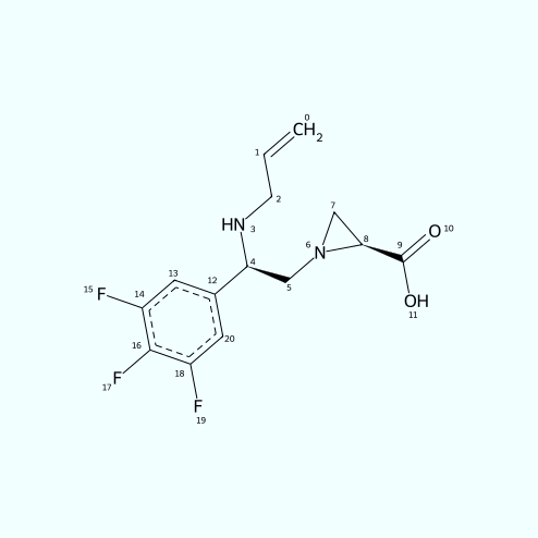 C=CCN[C@@H](CN1C[C@H]1C(=O)O)c1cc(F)c(F)c(F)c1